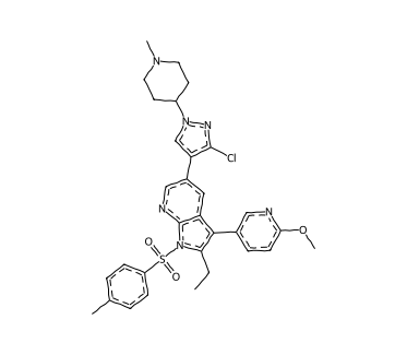 CCc1c(-c2ccc(OC)nc2)c2cc(-c3cn(C4CCN(C)CC4)nc3Cl)cnc2n1S(=O)(=O)c1ccc(C)cc1